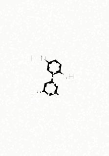 Nc1ccc(N)c(-c2cc(Cl)cc(Cl)c2)c1